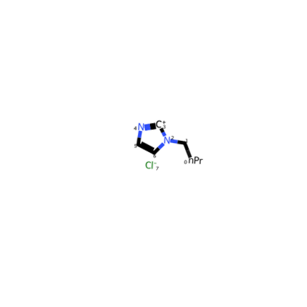 CCCCN1[C+]=NC=C1.[Cl-]